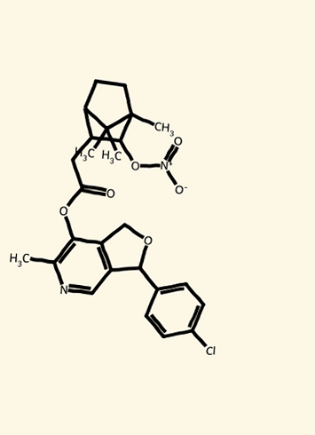 Cc1ncc2c(c1OC(=O)CC1C3CCC(C)(C1O[N+](=O)[O-])C3(C)C)COC2c1ccc(Cl)cc1